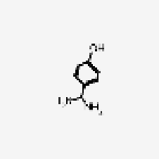 NC(N)c1ccc(O)cc1